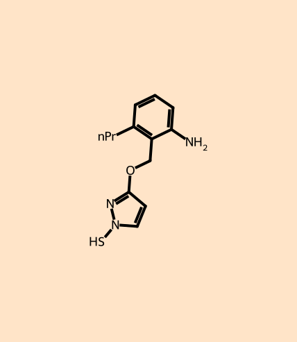 CCCc1cccc(N)c1COc1ccn(S)n1